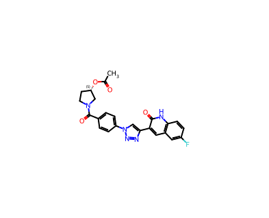 CC(=O)O[C@H]1CCN(C(=O)c2ccc(-n3cc(-c4cc5cc(F)ccc5[nH]c4=O)nn3)cc2)C1